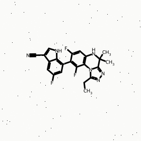 CCc1nnc2n1-c1c(cc(F)c(-c3cc(F)cc4c(C#N)c[nH]c34)c1F)NC2(C)C